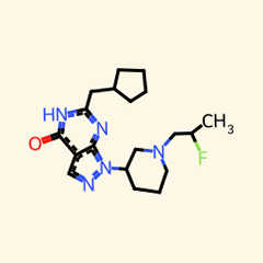 CC(F)CN1CCCC(n2ncc3c(=O)[nH]c(CC4CCCC4)nc32)C1